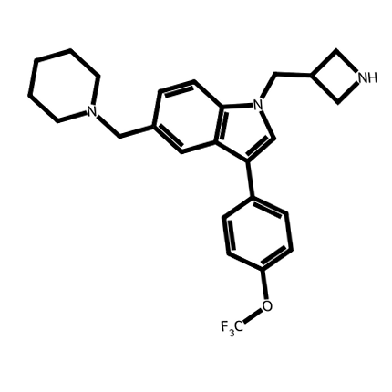 FC(F)(F)Oc1ccc(-c2cn(CC3CNC3)c3ccc(CN4CCCCC4)cc23)cc1